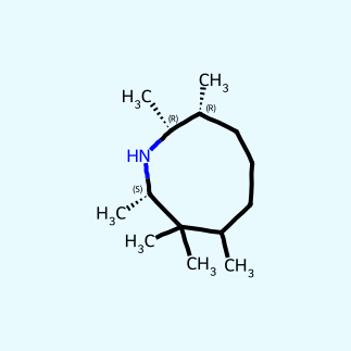 CC1CCC[C@@H](C)[C@@H](C)N[C@@H](C)C1(C)C